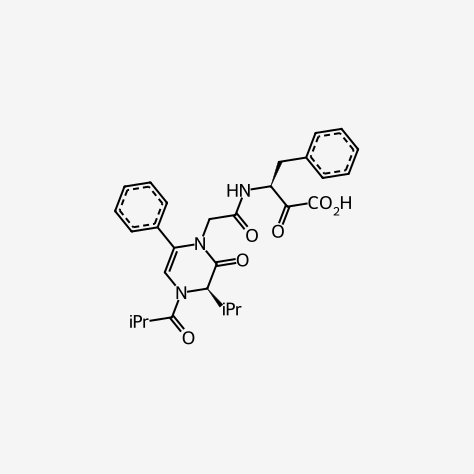 CC(C)C(=O)N1C=C(c2ccccc2)N(CC(=O)N[C@@H](Cc2ccccc2)C(=O)C(=O)O)C(=O)[C@H]1C(C)C